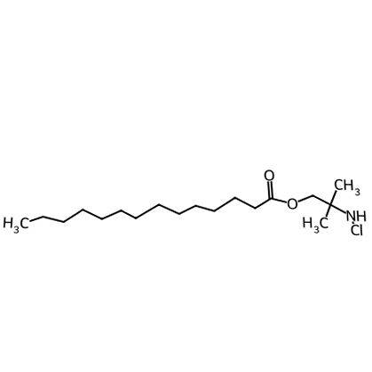 CCCCCCCCCCCCCC(=O)OCC(C)(C)NCl